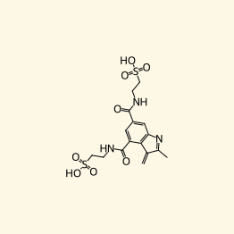 C=C1C(C)=Nc2cc(C(=O)NCCS(=O)(=O)O)cc(C(=O)NCCS(=O)(=O)O)c21